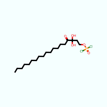 CCCCCCCCCCCCCCCC(=O)C(O)(O)CCOP(=O)(Cl)Cl